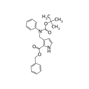 CC(C)(C)OC(=O)N(Cc1cc[nH]c1C(=O)OCc1ccccc1)c1ccccc1